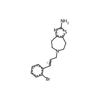 Nc1nc2c(s1)CCN(C/C=C/c1ccccc1Br)CC2